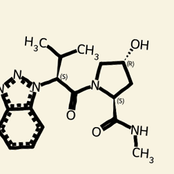 CNC(=O)[C@@H]1C[C@@H](O)CN1C(=O)[C@H](C(C)C)n1nnc2ccccc21